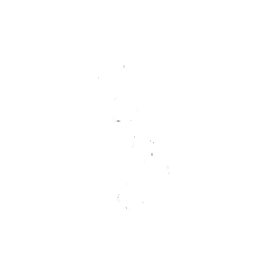 CCOC(=O)c1nn(-c2ccc(C(=O)O)cc2C(C)C)cc1-c1c(OC)cccc1OCC1CC1